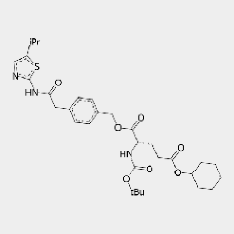 CC(C)c1cnc(NC(=O)Cc2ccc(COC(=O)[C@H](CCC(=O)OC3CCCCC3)NC(=O)OC(C)(C)C)cc2)s1